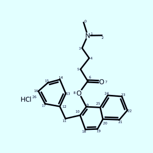 CN(C)CCCC(=O)Oc1c(Cc2ccccc2)ccc2ccccc12.Cl